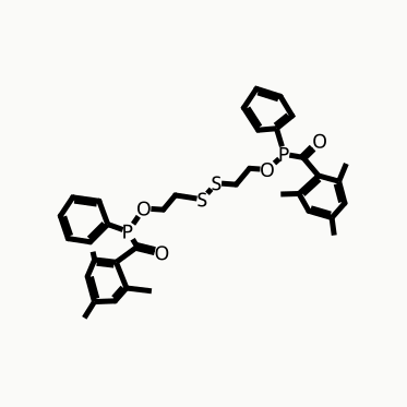 Cc1cc(C)c(C(=O)P(OCCSSCCOP(C(=O)c2c(C)cc(C)cc2C)c2ccccc2)c2ccccc2)c(C)c1